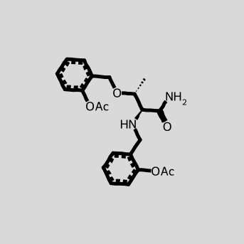 CC(=O)Oc1ccccc1CN[C@H](C(N)=O)[C@@H](C)OCc1ccccc1OC(C)=O